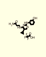 NC(=O)CCNc1nc(Nc2cccc(O)c2)ncc1C1CC1.O=C(O)C(F)(F)F